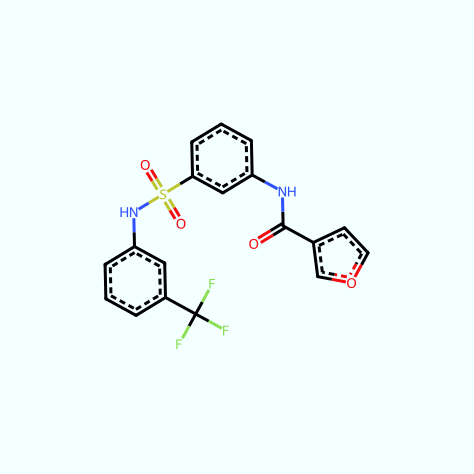 O=C(Nc1cccc(S(=O)(=O)Nc2cccc(C(F)(F)F)c2)c1)c1ccoc1